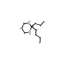 CCCCC1(CCC)OCCCO1